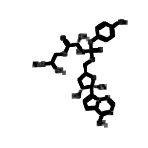 COC(C)COC(=O)[C@H](C)NP(=O)(OC[C@@H]1C[C@@H](O)[C@](C#N)(c2ccc3c(N)ncnn23)O1)Oc1ccc(C(C)(C)C)cc1